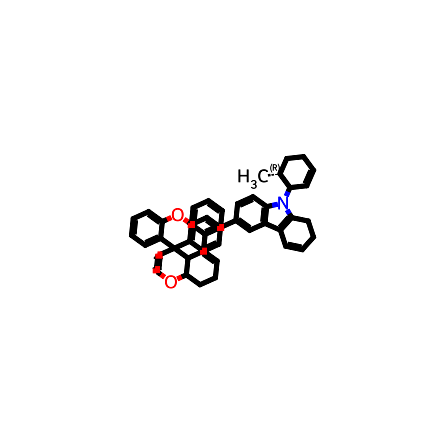 C[C@@H]1CCC=CC1n1c2c(c3cc(-c4ccc5c(c4)Oc4ccccc4C54c5ccccc5OC5CCC=C(c6ccccc6)C54)ccc31)C=CCC2